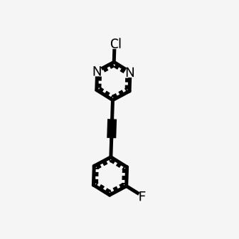 Fc1cccc(C#Cc2cnc(Cl)nc2)c1